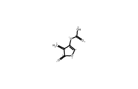 C=C1C(=O)OC=C1OC(=O)O